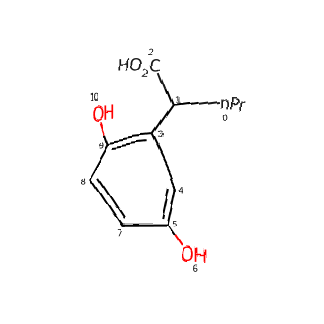 CCCC(C(=O)O)c1cc(O)ccc1O